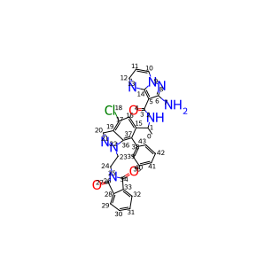 CC(NC(=O)c1c(N)nn2cccnc12)c1cc(Cl)c2cnn(CCN3C(=O)c4ccccc4C3=O)c2c1-c1ccccc1